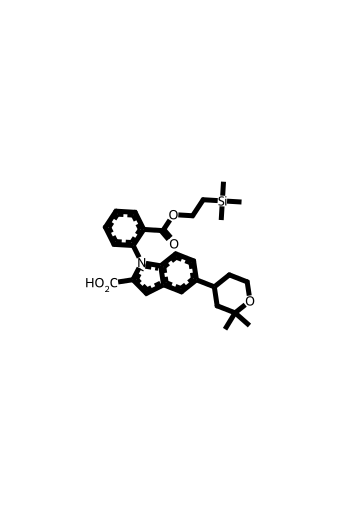 CC1(C)CC(c2ccc3c(c2)cc(C(=O)O)n3-c2ccccc2C(=O)OCC[Si](C)(C)C)CCO1